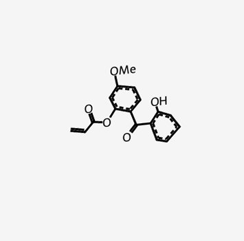 C=CC(=O)Oc1cc(OC)ccc1C(=O)c1ccccc1O